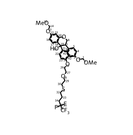 COCOc1ccc(C2COc3cc(OCOC)ccc3C2(O)c2ccc(OCCOCCSCCCC(F)(F)C(F)(F)F)cc2)cc1